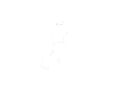 c1ccc2c(c1)[nH]c1cnncc12